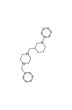 c1ccc(CN2CCN(CC3CCCN(c4ccccc4)C3)CC2)cc1